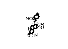 C[C@@H]1C(=O)C(C#N)=C[C@]2(C)C3=C[C@@H](O)[C@@](C)(O)[C@@H](CCC4(CO)CCC(C)(C)CC4)[C@]3(C)CC[C@@H]12